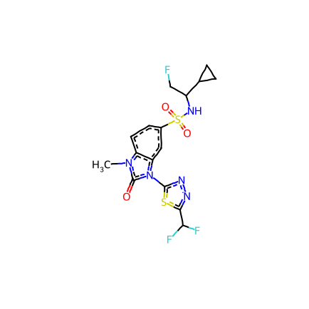 Cn1c(=O)n(-c2nnc(C(F)F)s2)c2cc(S(=O)(=O)NC(CF)C3CC3)ccc21